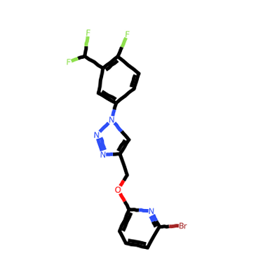 Fc1ccc(-n2cc(COc3cccc(Br)n3)nn2)cc1C(F)F